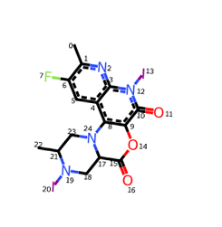 Cc1nc2c(cc1F)c1c(c(=O)n2I)OC(=O)C2CN(I)C(C)CN12